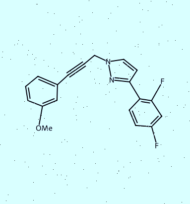 COc1cccc(C#CCn2ccc(-c3ccc(F)cc3F)n2)c1